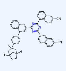 CC1(c2ccc(-c3cc(-c4nc(-c5ccc6ccc(C#N)cc6c5)nc(-c5cccc6cc(C#N)ccc56)n4)cc4ccccc34)cc2)C[C@@H]2CC[C@@H](C2)C1